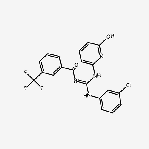 O=C(/N=C(/Nc1cccc(Cl)c1)Nc1cccc(O)n1)c1cccc(C(F)(F)F)c1